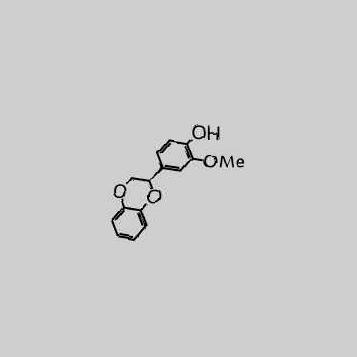 COc1cc([C@@H]2COc3ccccc3O2)ccc1O